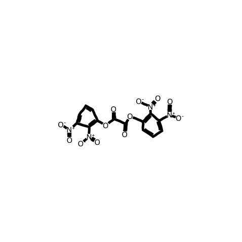 O=C(Oc1cccc([N+](=O)[O-])c1[N+](=O)[O-])C(=O)Oc1cccc([N+](=O)[O-])c1[N+](=O)[O-]